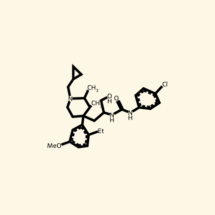 CCc1ccc(OC)cc1C1(CC(CO)NC(=O)Nc2ccc(Cl)cc2)CCN(CC2CC2)C(C)C1C